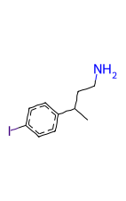 CC(CCN)c1ccc(I)cc1